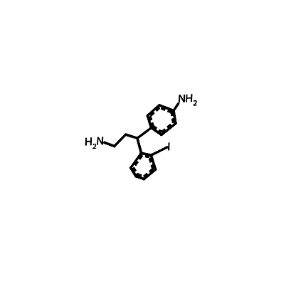 NCCC(c1ccc(N)cc1)c1ccccc1I